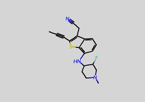 CC#Cc1sc2c(NC3CCN(C)CC3F)cccc2c1CC#N